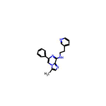 Cc1cnc2c(NCCc3cccnc3)nc(-c3ccccc3)cn12